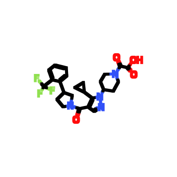 O=C(O)C(=O)N1CCC(n2ncc(C(=O)N3CCC(c4ccccc4C(F)(F)F)C3)c2C2CC2)CC1